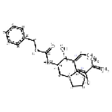 C=C(C)/C(Cl)=C\C(=C/C)[C@@H](O)[C@@H](CN1CCCC1)NC(=O)OCc1ccccc1